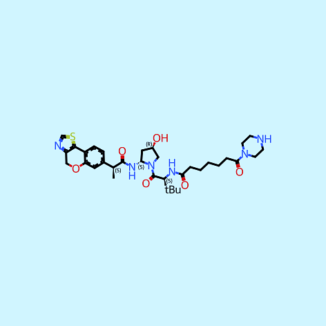 C[C@H](C(=O)N[C@@H]1C[C@@H](O)CN1C(=O)[C@@H](NC(=O)CCCCCC(=O)N1CCNCC1)C(C)(C)C)c1ccc2c(c1)OCc1ncsc1-2